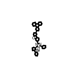 c1ccc(C2N=C(c3ccc4c(c3)oc3ccc(-c5ccc6c7ccccc7c7ccccc7c6c5)cc34)N=C(c3cccc4c3oc3ccccc34)N2)cc1